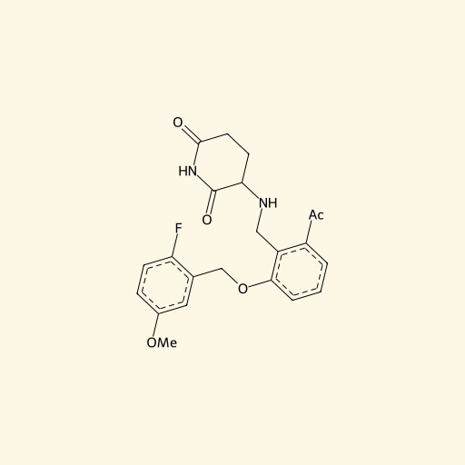 COc1ccc(F)c(COc2cccc(C(C)=O)c2CNC2CCC(=O)NC2=O)c1